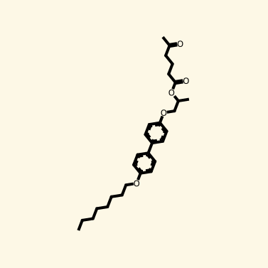 CCCCCCCCOc1ccc(-c2ccc(OCC(C)OC(=O)CCCC(C)=O)cc2)cc1